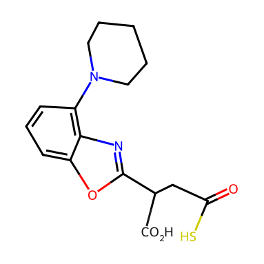 O=C(S)CC(C(=O)O)c1nc2c(N3CCCCC3)cccc2o1